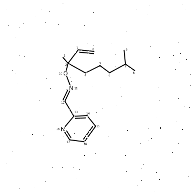 C=CC(C)(CCCC(C)C)ON=Cc1ccccn1